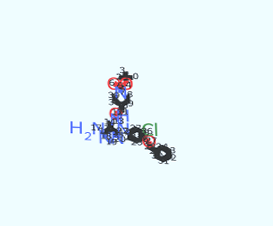 CC(C)(C)OC(=O)N1CCC(CON=Cc2c(N)ncnc2Nc2ccc(OCc3ccccc3)c(Cl)c2)CC1